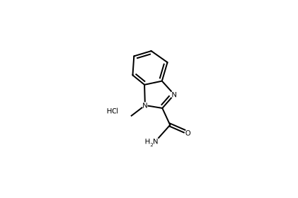 Cl.Cn1c(C(N)=O)nc2ccccc21